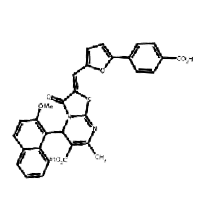 CCOC(=O)C1=C(C)N=c2sc(=Cc3ccc(-c4ccc(C(=O)O)cc4)o3)c(=O)n2C1c1c(OC)ccc2ccccc12